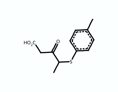 Cc1ccc(SC(C)C(=O)CC(=O)O)cc1